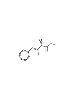 CCNC(=O)/C(C)=C/c1ccccc1